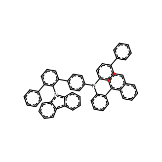 c1ccc(-c2ccc(N(c3ccc(-c4cccc(-c5ccccc5)c4-n4c5ccccc5c5ccccc54)cc3)c3ccccc3-c3cccc4ccccc34)cc2)cc1